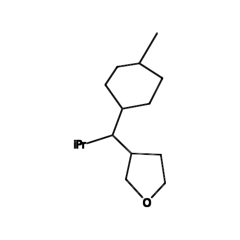 CC1CCC(C(C(C)C)C2CCOC2)CC1